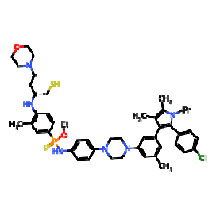 CCOP(=S)(Nc1ccc(N2CCN(c3cc(C)cc(-c4c(C)c(C)n(C(C)C)c4-c4ccc(Cl)cc4)c3)CC2)cc1)c1ccc(N[C@@H](CS)CCN2CCOCC2)c(C)c1